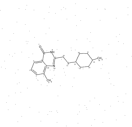 Cc1cccc2c(=O)[nH]c(CSC3CCC(C)CC3)nc12